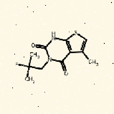 Cc1csc2[nH]c(=O)n(CC(C)(C)F)c(=O)c12